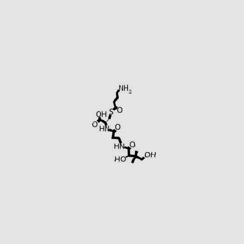 CC(C)(CO)[C@@H](O)C(=O)NCCC(=O)N[C@@H](CSC(=O)CCCN)C(=O)O